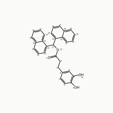 O=C(CCc1ccc(O)c(O)c1)OC(c1cccc2ccccc12)c1cccc2ccccc12